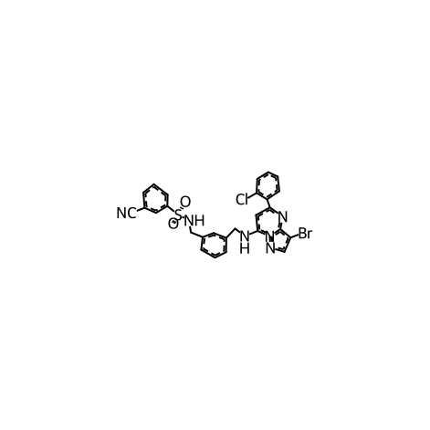 N#Cc1cccc(S(=O)(=O)NCc2cccc(CNc3cc(-c4ccccc4Cl)nc4c(Br)cnn34)c2)c1